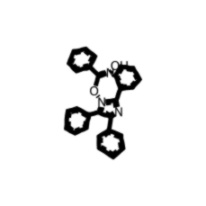 ON=C(On1c(-c2ccccc2)nc(-c2ccccc2)c1-c1ccccc1)c1ccccc1